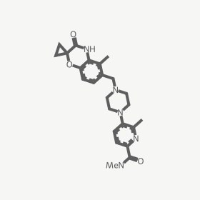 CNC(=O)c1ccc(N2CCN(Cc3ccc4c(c3C)NC(=O)C3(CC3)O4)CC2)c(C)n1